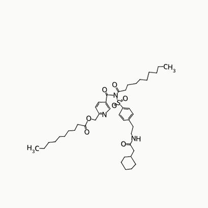 CCCCCCCCCC(=O)OCc1ccc(C(=O)N(C(=O)CCCCCCCCC)S(=O)(=O)c2ccc(CCNC(=O)CC3CCCCC3)cc2)cn1